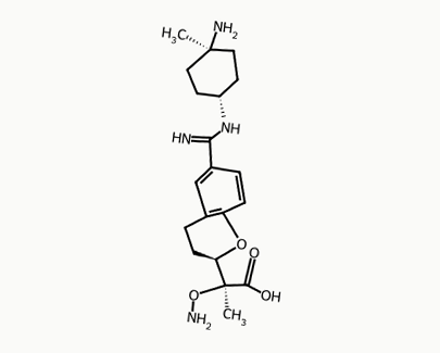 C[C@@](ON)(C(=O)O)[C@H]1CCc2cc(C(=N)N[C@H]3CC[C@](C)(N)CC3)ccc2O1